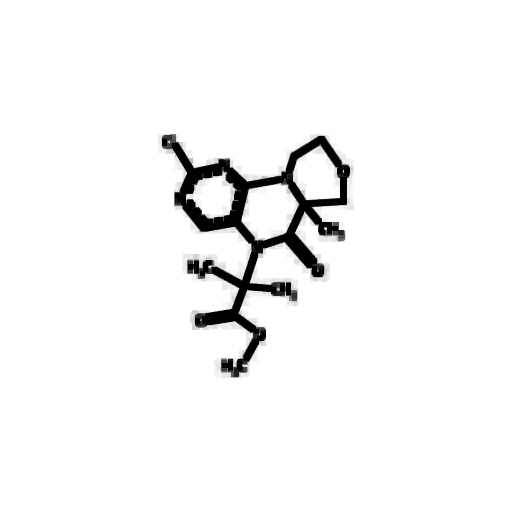 COC(=O)C(C)(C)N1C(=O)C2(C)COCCN2c2nc(Cl)ncc21